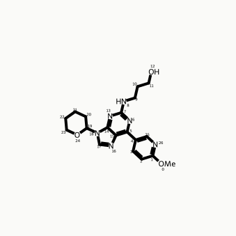 COc1ccc(-c2nc(NCCCO)nc3c2ncn3C2CCCCO2)cn1